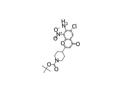 CC(C)(C)OC(=O)N1CCC(c2cc(=O)c3cc(Cl)c(N)c([N+](=O)[O-])c3o2)CC1